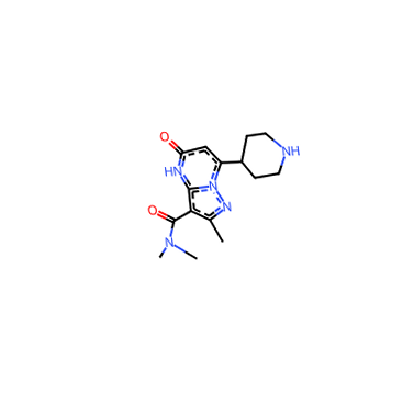 Cc1nn2c(C3CCNCC3)cc(=O)[nH]c2c1C(=O)N(C)C